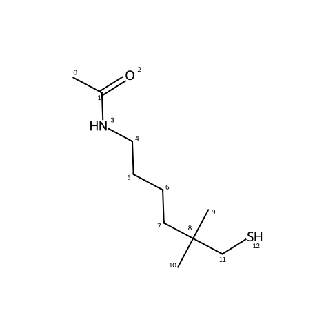 CC(=O)NCCCCC(C)(C)CS